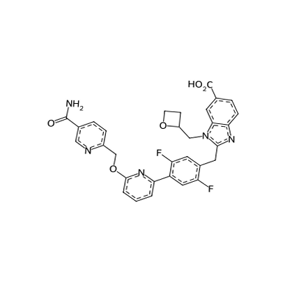 NC(=O)c1ccc(COc2cccc(-c3cc(F)c(Cc4nc5ccc(C(=O)O)cc5n4CC4CCO4)cc3F)n2)nc1